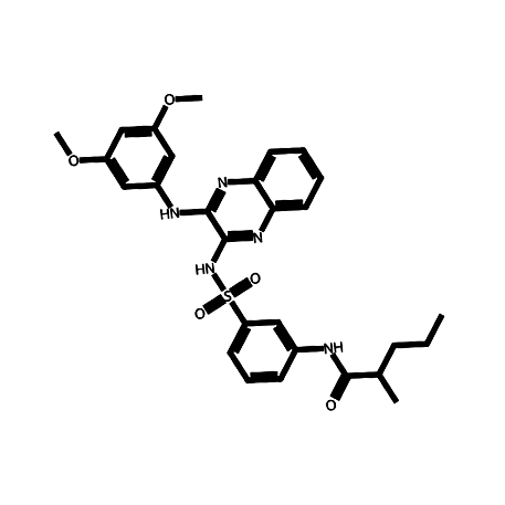 CCCC(C)C(=O)Nc1cccc(S(=O)(=O)Nc2nc3ccccc3nc2Nc2cc(OC)cc(OC)c2)c1